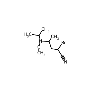 CCN(C(C)C)C(C)CC(Br)C#N